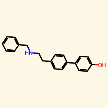 Oc1ccc(-c2ccc(CCNCc3ccccc3)cc2)cc1